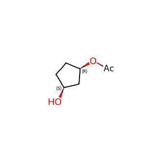 CC(=O)O[C@@H]1CC[C@H](O)C1